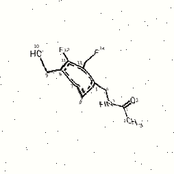 CC(=O)NCc1ccc(CO)c(F)c1F